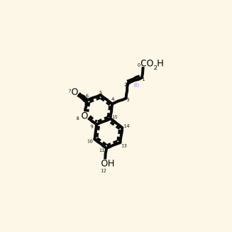 O=C(O)/C=C/Cc1cc(=O)oc2cc(O)ccc12